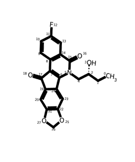 CC[C@@H](O)Cn1c2c(c3ccc(F)cc3c1=O)C(=O)c1cc3c(cc1-2)OCO3